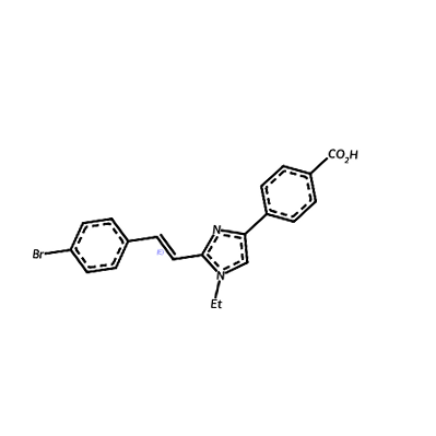 CCn1cc(-c2ccc(C(=O)O)cc2)nc1/C=C/c1ccc(Br)cc1